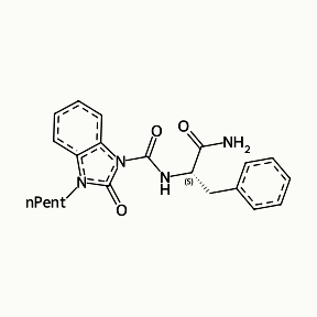 CCCCCn1c(=O)n(C(=O)N[C@@H](Cc2ccccc2)C(N)=O)c2ccccc21